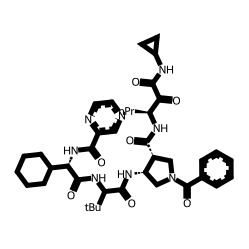 CCC[C@H](NC(=O)[C@@H]1CN(C(=O)c2ccccc2)C[C@@H]1NC(=O)C(NC(=O)[C@@H](NC(=O)c1cnccn1)C1CCCCC1)C(C)(C)C)C(=O)C(=O)NC1CC1